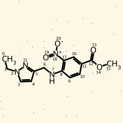 CCn1ccc(CNc2ccc(C(=O)OC)cc2[N+](=O)[O-])n1